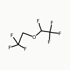 FC(OCC(F)(F)F)C(F)(F)F